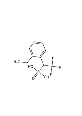 CCc1ccccc1C(C(F)(F)F)P(=O)(O)O